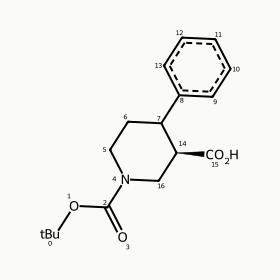 CC(C)(C)OC(=O)N1CCC(c2ccccc2)[C@@H](C(=O)O)C1